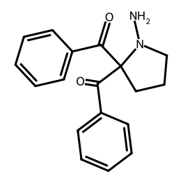 NN1CCCC1(C(=O)c1ccccc1)C(=O)c1ccccc1